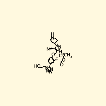 CC(C)OC=O.N#Cc1c(COc2ccc(-c3nnnn3CCO)cc2F)cnn1C1CCNCC1